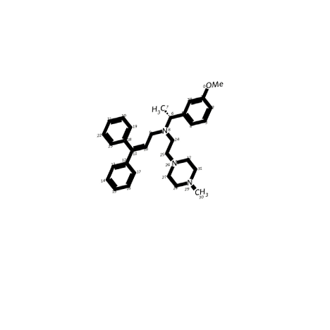 COc1cccc([C@@H](C)N(CC=C(c2ccccc2)c2ccccc2)CCN2CCN(C)CC2)c1